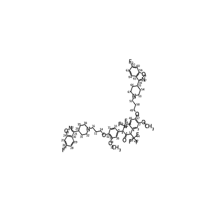 COc1cc(C(C(=O)C(c2ccc(OCCCN3CCC(c4noc5cc(F)ccc45)CC3)c(OC)c2)C(F)(F)F)C(F)(F)F)ccc1OCCCN1CCC(c2noc3cc(F)ccc23)CC1